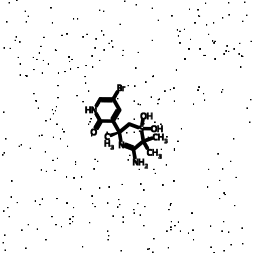 CC1(C)C(N)=N[C@](C)(c2cc(Br)c[nH]c2=O)CS1(O)O